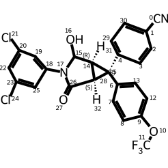 N#Cc1ccc([C@@]2(c3ccc(OC(F)(F)F)cc3)[C@@H]3C(O)N(c4cc(Cl)cc(Cl)c4)C(=O)[C@@H]32)cc1